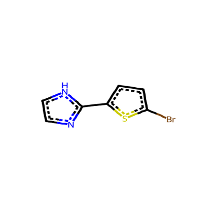 Brc1ccc(-c2ncc[nH]2)s1